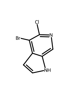 Clc1ncc2[nH]ccc2c1Br